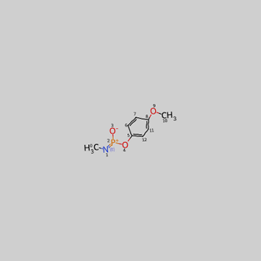 C/N=[P+](\[O-])Oc1ccc(OC)cc1